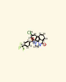 O=C(c1ccc(C(F)(F)F)cc1)N1CCN2C(=O)c3ccccc3C12c1ccc(Cl)cc1